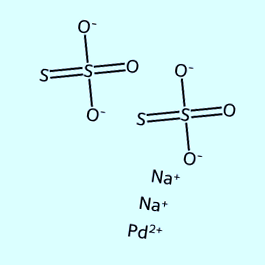 O=S([O-])([O-])=S.O=S([O-])([O-])=S.[Na+].[Na+].[Pd+2]